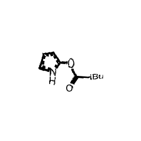 CCC(C)C(=O)Oc1ccc[nH]1